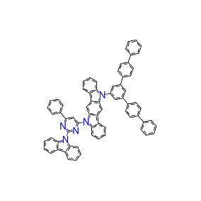 c1ccc(-c2ccc(-c3cc(-c4ccc(-c5ccccc5)cc4)cc(-n4c5ccccc5c5cc6c(cc54)c4ccccc4n6-c4cc(-c5ccccc5)nc(-n5c6ccccc6c6ccccc65)n4)c3)cc2)cc1